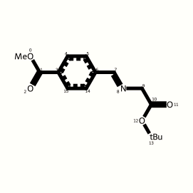 COC(=O)c1ccc(C=NCC(=O)OC(C)(C)C)cc1